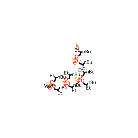 CCCCC(CC)COP([O-])(=S)OCC(CC)CCCC.CCCCC(CC)COP([O-])(=S)OCC(CC)CCCC.CCCCC(CC)COP([O-])(=S)OCC(CC)CCCC.CCCCC(CC)COP([O-])(=S)OCC(CC)CCCC.O=S.[Mo+4]